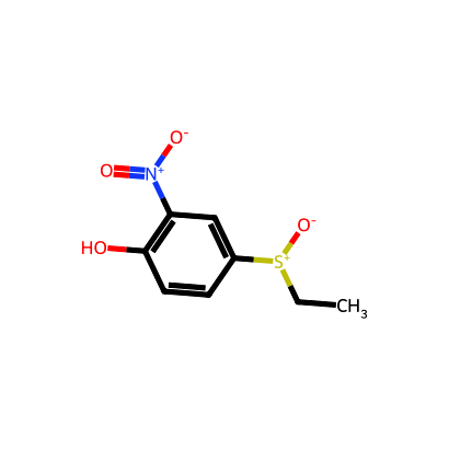 CC[S+]([O-])c1ccc(O)c([N+](=O)[O-])c1